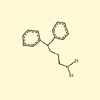 CCN(CC)CCCC(c1ccccc1)c1ccccc1